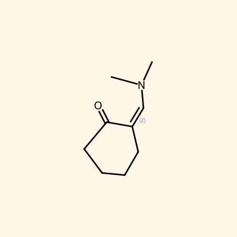 CN(C)/C=C1/CCCCC1=O